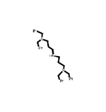 CC(C)CN(CCCNCCCN(CC(C)C)CC(C)C)CC(C)C